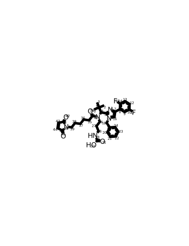 CC(C)(C)C(c1nc(-c2cc(F)ccc2F)cn1Cc1ccccc1)N(CCCNC(=O)O)C(=O)CCCCCN1C(=O)C=CC1=O